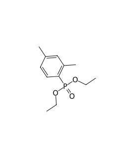 CCOP(=O)(OCC)c1ccc(C)cc1C